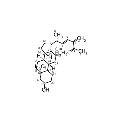 C=C(C)C(=C)C=C[C@@H](C)[C@H]1CC[C@H]2[C@@H]3CCC4CC(O)CC[C@]4(C)[C@H]3CC[C@]12C